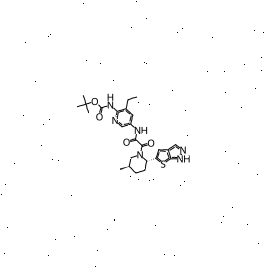 CCc1cc(NC(=O)C(=O)N2C[C@H](C)CC[C@H]2c2cc3cn[nH]c3s2)cnc1NC(=O)OC(C)(C)C